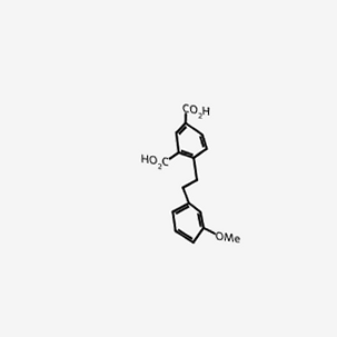 COc1cccc(CCc2ccc(C(=O)O)cc2C(=O)O)c1